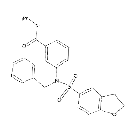 CC(C)NC(=O)c1cccc(N(Cc2ccccc2)S(=O)(=O)c2ccc3c(c2)CCO3)c1